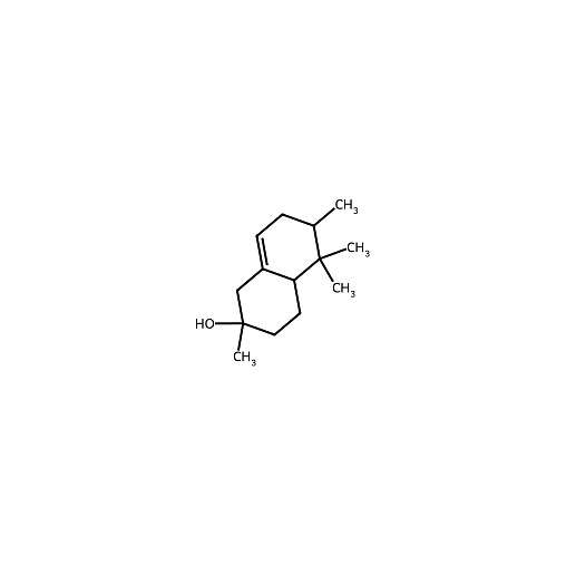 CC1CC=C2CC(C)(O)CCC2C1(C)C